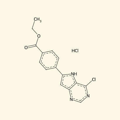 CCOC(=O)c1ccc(-c2cc3ncnc(Cl)c3[nH]2)cc1.Cl